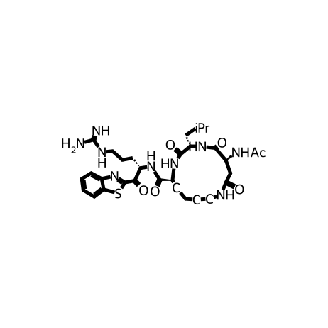 CC(=O)N[C@H]1CC(=O)NCCCC[C@@H](C(=O)N[C@@H](CCCNC(=N)N)C(=O)c2nc3ccccc3s2)NC(=O)[C@H](CC(C)C)NC1=O